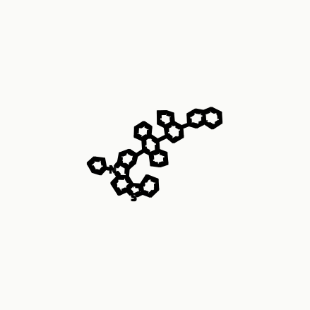 c1ccc(-n2c3ccc(-c4c5ccccc5c(-c5ccc(-c6ccc7ccccc7c6)c6ccccc56)c5ccccc45)cc3c3c4c(ccc32)sc2ccccc24)cc1